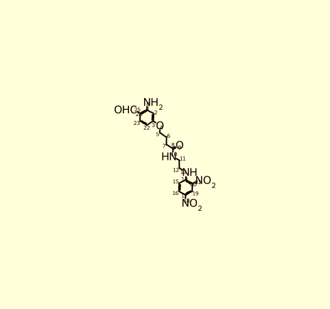 Nc1cc(OCCCC(=O)NCCNc2ccc([N+](=O)[O-])cc2[N+](=O)[O-])ccc1C=O